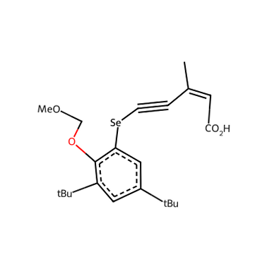 COCOc1c([Se]C#CC(C)=CC(=O)O)cc(C(C)(C)C)cc1C(C)(C)C